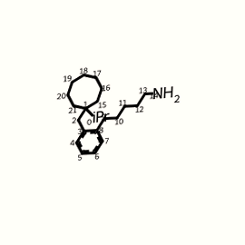 CC(C)C1(Cc2ccccc2CCCCCN)CCCCCCC1